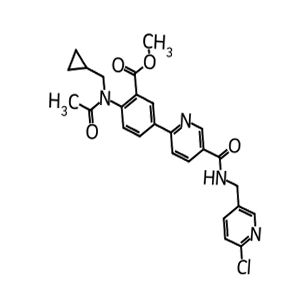 COC(=O)c1cc(-c2ccc(C(=O)NCc3ccc(Cl)nc3)cn2)ccc1N(CC1CC1)C(C)=O